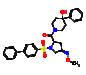 CON=C1CC(C(=O)N2CCC(O)(c3ccccc3)CC2)N(S(=O)(=O)c2ccc(-c3ccccc3)cc2)C1